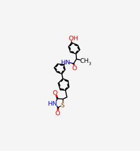 CC(C(=O)Nc1cccc(-c2ccc(CC3SC(=O)NC3=O)cc2)c1)c1ccc(O)cc1